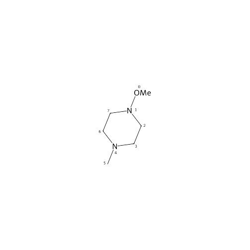 [CH2]ON1CCN(C)CC1